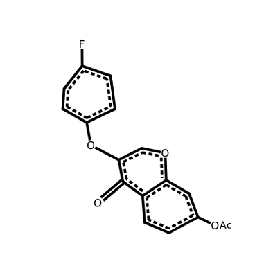 CC(=O)Oc1ccc2c(=O)c(Oc3ccc(F)cc3)coc2c1